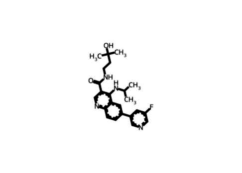 CC(C)Nc1c(C(=O)NCCC(C)(C)O)cnc2ccc(-c3cncc(F)c3)cc12